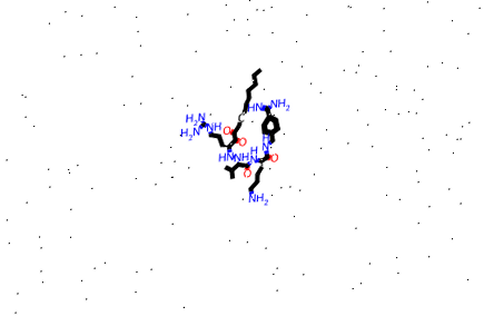 CCCCCCCCCC(=O)C(=O)[C@H](CCCNC(N)N)NN[C@H](C(=O)N[C@@H](CCCCN)C(=O)NCc1ccc(C(=N)N)cc1)C(C)C